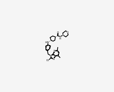 CCc1nc2c(C)cc(C)nc2n1Cc1ccc(N[C@H]2CC[C@@H](C(=O)NN3CCOCC3)CC2)cc1